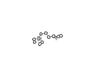 c1cc(-c2cccc(-c3ccc4c(c3)sc3cc5ccccc5cc34)c2)cc(-c2cccc(-c3nc(-c4cccc5ccccc45)nc(-c4cccc5ccccc45)n3)c2)c1